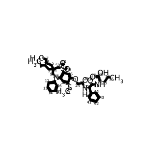 CCCCC1(CCCC)CN(c2ccccc2)c2cc(SC)c(OCC(=O)N[C@@H](C(=O)N[C@@H](CCC)C(=O)O)c3ccccc3)cc2S(=O)(=O)C1